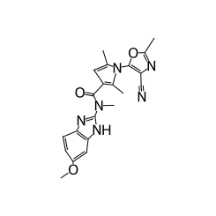 COc1ccc2nc(N(C)C(=O)c3cc(C)n(-c4oc(C)nc4C#N)c3C)[nH]c2c1